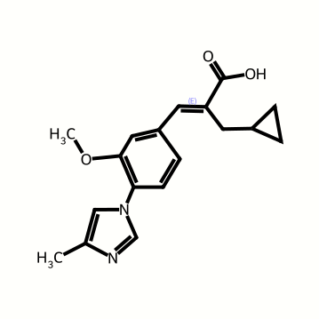 COc1cc(/C=C(\CC2CC2)C(=O)O)ccc1-n1cnc(C)c1